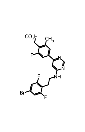 Cc1cc(-c2cc(NCCc3c(F)cc(Br)cc3F)ncn2)cc(F)c1CC(=O)O